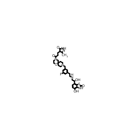 CC1=NNC(=O)C1CCC(=O)N1CCOC2(CCN(Cc3cc(F)cc(CCNC[C@H](O)c4ccc(O)c5[nH]c(=O)sc45)c3)CC2)C1